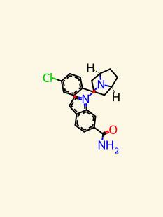 NC(=O)c1ccc2ccn(C3C[C@H]4CC[C@@H](C3)N4Cc3ccc(Cl)cc3)c2c1